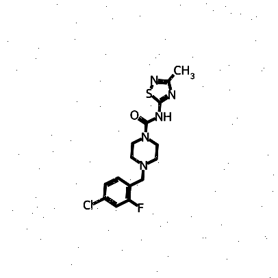 Cc1nsc(NC(=O)N2CCN(Cc3ccc(Cl)cc3F)CC2)n1